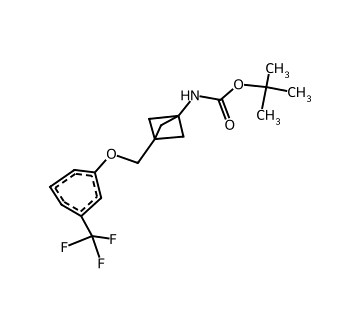 CC(C)(C)OC(=O)NC12CC(COc3cccc(C(F)(F)F)c3)(C1)C2